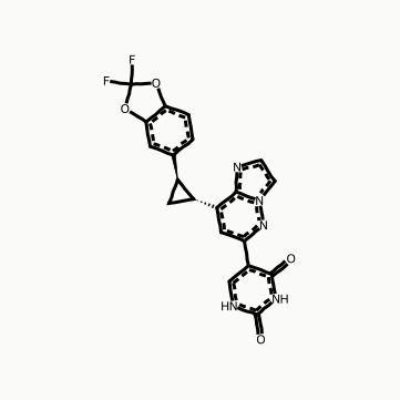 O=c1[nH]cc(-c2cc([C@@H]3C[C@H]3c3ccc4c(c3)OC(F)(F)O4)c3nccn3n2)c(=O)[nH]1